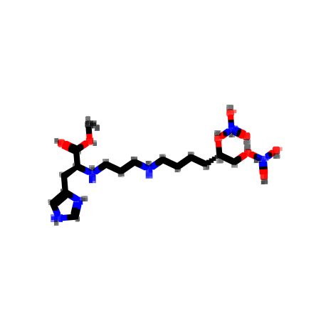 COC(=O)[C@H](Cc1c[nH]cn1)NCCCNCCCC[C@@H](CO[N+](=O)[O-])O[N+](=O)[O-]